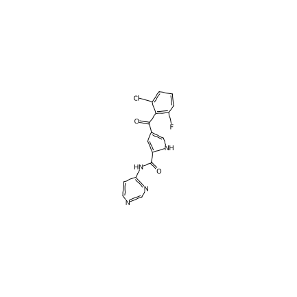 O=C(Nc1ccncn1)c1cc(C(=O)c2c(F)cccc2Cl)c[nH]1